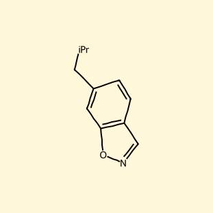 CC(C)Cc1ccc2cnoc2c1